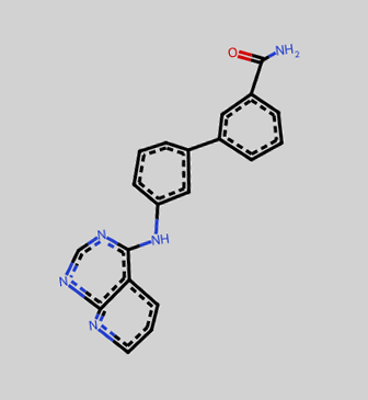 NC(=O)c1cccc(-c2cccc(Nc3ncnc4ncccc34)c2)c1